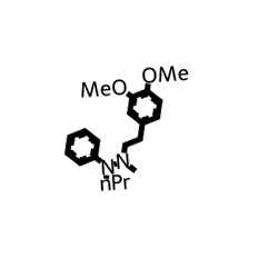 CCCN(c1ccccc1)N(C)CCc1ccc(OC)c(OC)c1